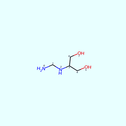 NCNC(CO)CO